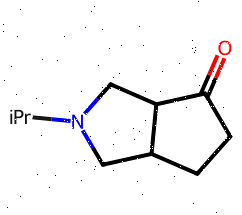 CC(C)N1CC2CCC(=O)C2C1